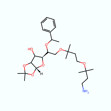 CC(OC(COC(C)(C)CCOC(C)(C)CCN)[C@H]1O[C@@H]2OC(C)(C)OC2C1O)c1ccccc1